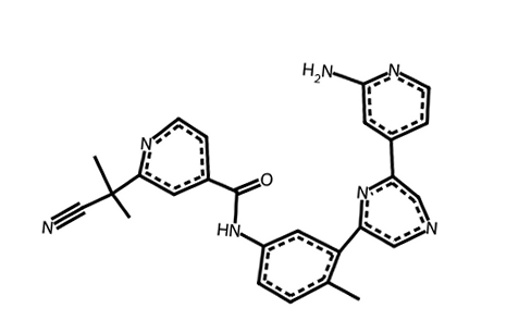 Cc1ccc(NC(=O)c2ccnc(C(C)(C)C#N)c2)cc1-c1cncc(-c2ccnc(N)c2)n1